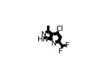 Cc1n[nH]c2nc(C(F)F)cc(Cl)c12